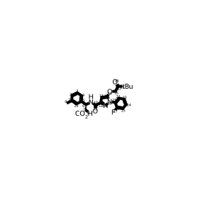 Cc1cccc([C@H](CC(=O)O)NC(=O)c2cc(OCC(=O)C(C)(C)C)n(-c3ccccc3F)n2)c1